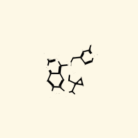 COCC1(C(C)Oc2cc3c(NCc4ccnc(C(F)(F)F)c4)nc(C)nc3cc2OC)CC1